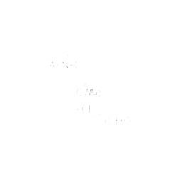 CC(=O)NCCCC=O.COC